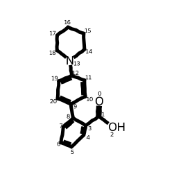 O=C(O)c1ccccc1-c1ccc(N2CCCCC2)cc1